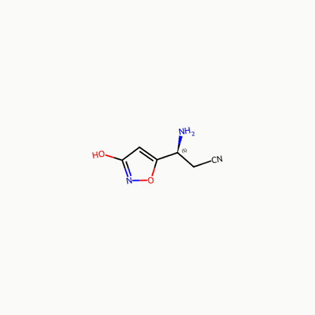 N#CC[C@H](N)c1cc(O)no1